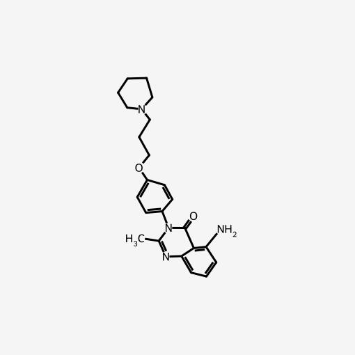 Cc1nc2cccc(N)c2c(=O)n1-c1ccc(OCCCN2CCCCC2)cc1